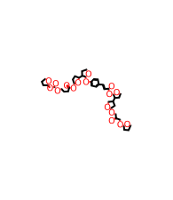 O=C(COC1CCCO1)COC1CC(C2CCOC2OC(=O)/C=C/c2ccc(OC3OCCC3C3CCC(OC(=O)CCCOC(=O)OC4CCCO4)O3)cc2)CO1